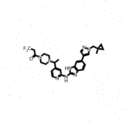 CC(c1ccnc(Nc2nc3ccc(-c4cnn(CC5(C)CC5)c4)cc3[nH]2)c1)N1CCN(C(=O)CC(F)(F)F)CC1